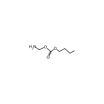 CCCCOC(=O)OCN